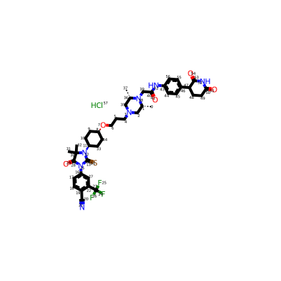 C[C@@H]1CN(CCCO[C@H]2CC[C@H](N3C(=S)N(c4ccc(C#N)c(C(F)(F)F)c4)C(=O)C3(C)C)CC2)C[C@H](C)N1CC(=O)Nc1ccc(C2CCC(=O)NC2=O)cc1.Cl